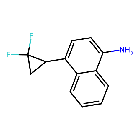 Nc1ccc(C2CC2(F)F)c2ccccc12